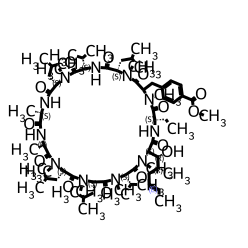 C/C=C/C[C@@H](C)[C@@H](O)[C@H]1C(=O)N[C@@H](CC)C(=O)N(C)C(Cc2ccc(C(=O)OC)cc2)C(=O)N(C)[C@@H](CC(C)C)C(=O)N[C@@H](C(C)C)C(=O)N(C)[C@@H](CC(C)C)C(=O)N[C@@H](C)C(=O)N[C@H](C)C(=O)N(C)[C@@H](CC(C)C)C(=O)N(C)[C@@H](CC(C)C)C(=O)N(C)[C@@H](C(C)C)C(=O)N1C